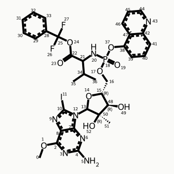 COc1nc(N)nc2c1nc(I)n2C1O[C@H](COP(=O)(NC(C(=O)OC(F)(F)c2ccccc2)C(C)C)Oc2cccc3ncccc23)[C@@H](O)[C@@]1(C)O